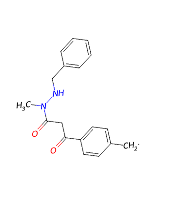 [CH2]c1ccc(C(=O)CC(=O)N(C)NCc2ccccc2)cc1